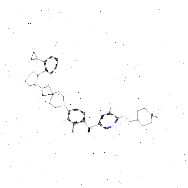 C=C(c1cnc(NCC2CCC(C)(C)CC2)c(N)c1)c1ccc(N2CCC3(CC2)CC(N2CCCC2c2ccccc2C2CC2)C3)cc1C